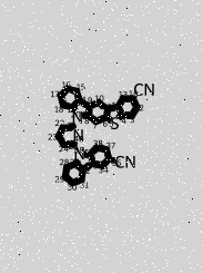 N#Cc1ccc2sc3cc4c(cc3c2c1)c1ccccc1n4-c1cccc(-n2c3ccccc3c3cc(C#N)ccc32)n1